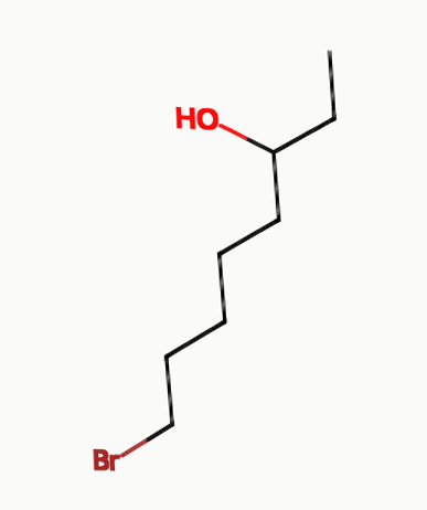 CCC(O)CCCCCBr